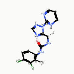 C[C@H](NC(=O)Nc1ccc(Cl)c(Cl)c1C#N)c1ncnn1-c1ncccn1